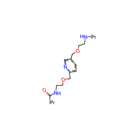 CC(C)NCCOCc1ccc(COCCNC(=O)C(C)C)nc1